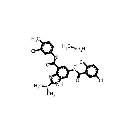 CS(=O)(=O)O.Cc1ccc(NC(=O)c2cc(NC(=O)c3cc(Cl)ccc3Cl)cc3[nH]c(N(C)C)nc23)cc1Cl